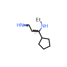 CCN/C(=C\C=N)C1CCCC1